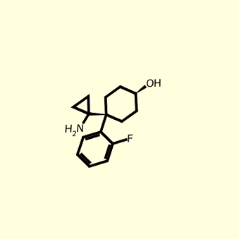 NC1([C@]2(c3ccccc3F)CC[C@H](O)CC2)CC1